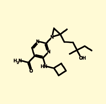 CCC(C)(O)CCC1(C)CN1c1ncc(C(N)=O)c(NC2CCC2)n1